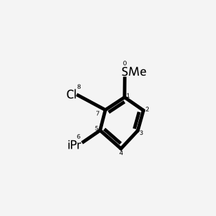 CSc1cccc(C(C)C)c1Cl